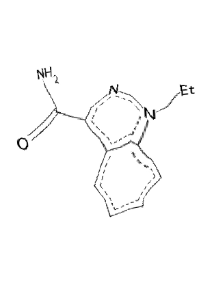 CCn1nc(C(N)=O)c2ccccc21